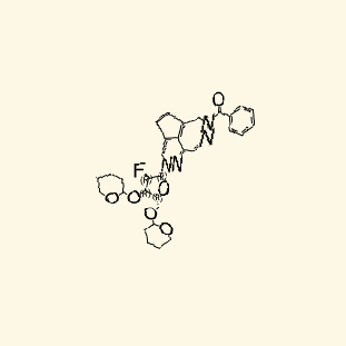 O=C(c1ccccc1)N1CC2=C3C(=CN([C@@H]4O[C@H](COC5CCCCO5)[C@@H](OC5CCCCO5)[C@H]4F)N=C3C=N1)CC2